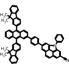 CC1(C)c2ccccc2-c2ccc(-c3c4ccccc4c(-c4ccc5c(c4)C(C)(C)c4ccccc4-5)c4cc(-c5ccc(-c6cc7ccc8cc(C#N)cc9c8c7c(c6)n9-c6ccccc6)cc5)ccc34)cc21